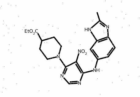 CCOC(=O)C1CCN(c2ncnc(Nc3ccc4nc(C)[nH]c4c3)c2[N+](=O)[O-])CC1